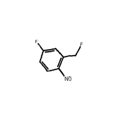 O=Nc1ccc(F)cc1CF